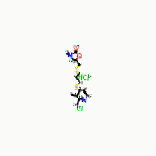 Cc1c(SCCCSCC2CN(C)C(=O)O2)ccnc1CCl.Cl